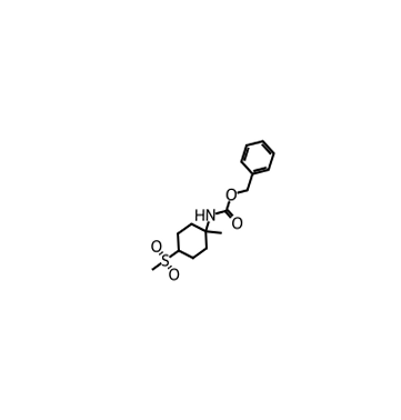 CC1(NC(=O)OCc2ccccc2)CCC(S(C)(=O)=O)CC1